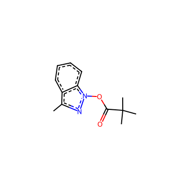 Cc1nn(OC(=O)C(C)(C)C)c2ccccc12